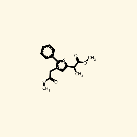 COC(=O)Cc1cc(C(C)C(=O)OC)sc1-c1ccccc1